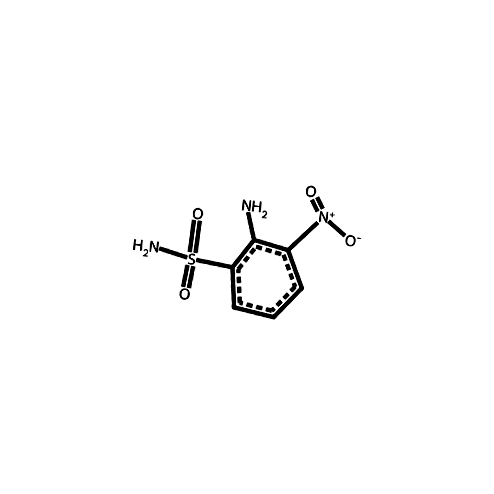 Nc1c([N+](=O)[O-])cccc1S(N)(=O)=O